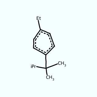 CCc1ccc(C(C)(C)C(C)C)cc1